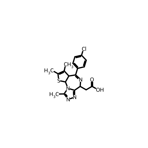 CC1=C(C)C2C(c3ccc(Cl)cc3)=NC(CC(=O)O)c3nnc(C)n3C2S1